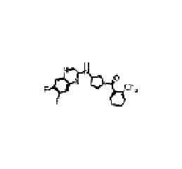 O=C(c1ccccc1C(F)(F)F)N1CCC(Nc2cnc3cc(F)c(F)cc3n2)C1